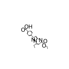 CCOC(=O)c1cc(CC)n2nc(-c3ccc(C(=O)O)cc3)cc2n1